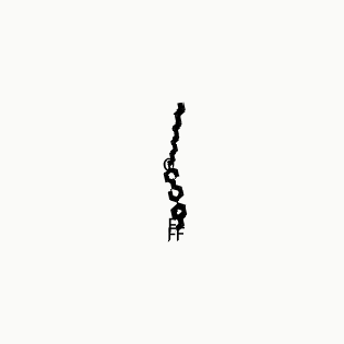 CCCCCCCCCCO[C@H]1CC[C@H]([C@H]2CC[C@H](c3ccc(CC(F)(F)F)cc3)CC2)CC1